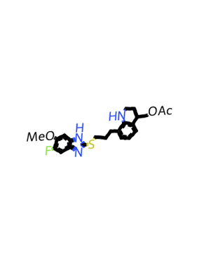 COc1cc2[nH]c(SCCCc3cccc4c3NCCC4COC(C)=O)nc2cc1F